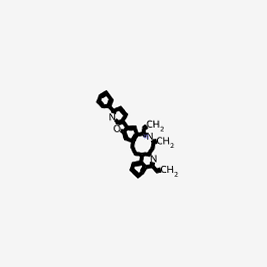 C=CC1=NC2CC(=C)/N=C(/C=C)c3cc4c(cc3CCC2c2ccccc21)oc1nc(-c2ccccc2)ccc14